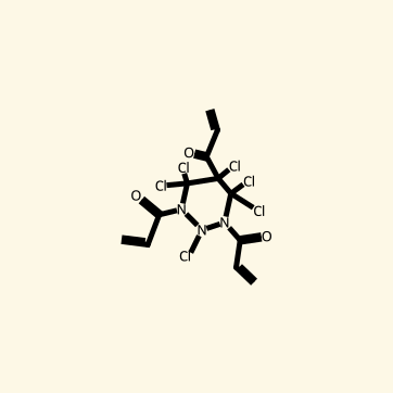 C=CC(=O)N1N(Cl)N(C(=O)C=C)C(Cl)(Cl)C(Cl)(C(=O)C=C)C1(Cl)Cl